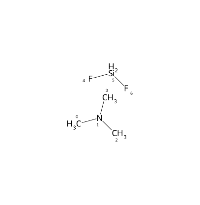 CN(C)C.F[SiH2]F